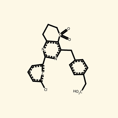 O=C(O)Cc1ccc(Cc2nc(-c3cccc(Cl)c3)nc3c2S(=O)(=O)CCC3)cc1